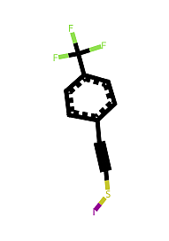 FC(F)(F)c1ccc(C#CSI)cc1